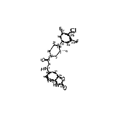 C[C@@H]1CN(C(=O)CNc2cnc3[nH]c(=O)oc3c2)CCN1c1cc(F)c(Cl)c(F)c1